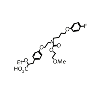 CCOC(Cc1ccc(OCCN(CCCCOc2ccc(F)cc2)C(=O)OCCOC)cc1)C(=O)O